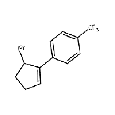 C[C](C)C1CCC=C1c1ccc(C(F)(F)F)cc1